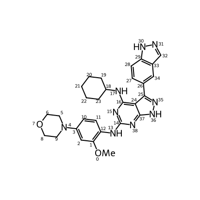 COc1cc(N2CCOCC2)ccc1Nc1nc(NC2CCCCC2)c2c(-c3ccc4[nH]ncc4c3)n[nH]c2n1